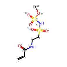 C=CC(=O)NCCS(=O)(=O)NS(=O)(=O)OCC